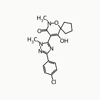 CN1OC2(CCCC2)C(O)=C(c2nc(-c3ccc(Cl)cc3)nn2C)C1=O